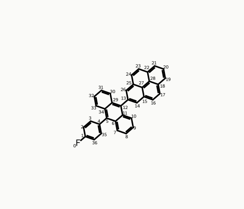 Fc1ccc(-c2c3ccccc3c(-c3cc4ccc5cccc6ccc(c3)c4c56)c3ccccc23)cc1